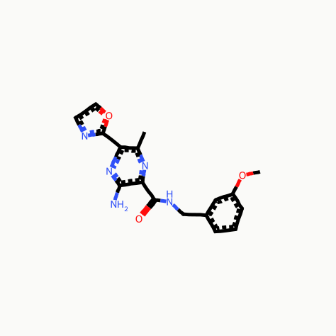 COc1cccc(CNC(=O)c2nc(C)c(-c3ncco3)nc2N)c1